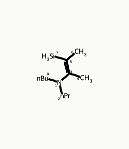 CCCCN(CCC)C(C)=C(C)[SiH3]